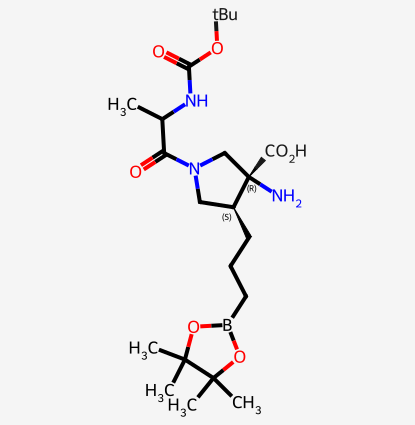 CC(NC(=O)OC(C)(C)C)C(=O)N1C[C@H](CCCB2OC(C)(C)C(C)(C)O2)[C@](N)(C(=O)O)C1